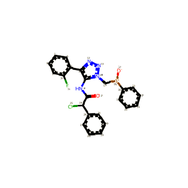 O=C(Nc1c(-c2ccccc2F)nnn1C[S+]([O-])c1ccccc1)C(Cl)c1ccccc1